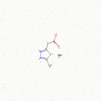 O=C([O-])Cc1nnc(S)s1.[Na+]